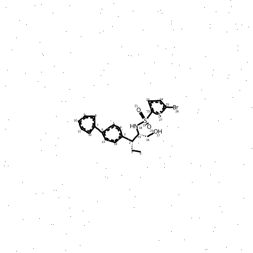 CC[C@H](c1ccc(-c2ccccc2)cc1)[C@@H](CO)NS(=O)(=O)c1ccc(Br)s1